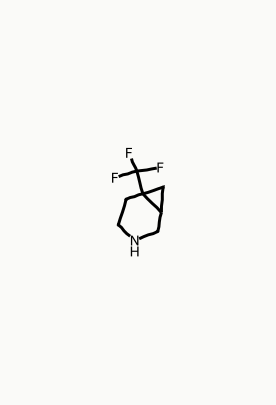 FC(F)(F)C12CCNCC1C2